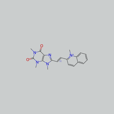 Cn1c(=O)c2nc(/C=C/c3ccc4ccccc4[n+]3C)n(C)c2n(C)c1=O